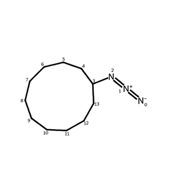 [N-]=[N+]=NC1CCCCCCCCCC1